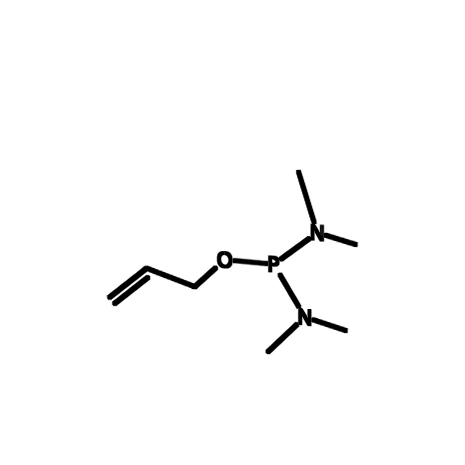 C=CCOP(N(C)C)N(C)C